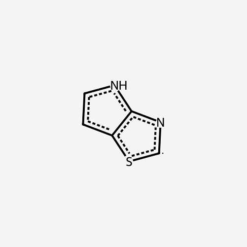 [c]1nc2[nH]ccc2s1